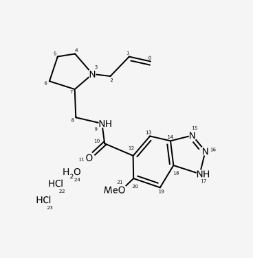 C=CCN1CCCC1CNC(=O)c1cc2nn[nH]c2cc1OC.Cl.Cl.O